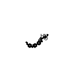 C=CNC(=O)CCC(C)N1Cc2cc(C3CCN(Cc4ccc(CCC)cc4)CC3)ccc2C1=C